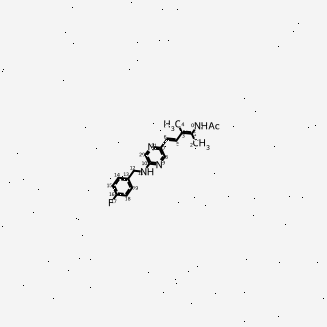 CC(=O)N/C(C)=C(C)/C=C/c1cnc(NCc2ccc(F)cc2)cn1